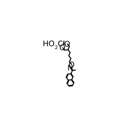 CC(=NOCCCCC1COC(C)(C(=O)O)OC1)c1ccc2ccccc2c1